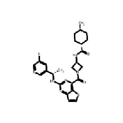 C[C@H](Nc1nc(C(=O)N2CC(NC(=O)[C@H]3CC[C@H](C)CC3)C2)c2sccc2n1)c1cncc(F)c1